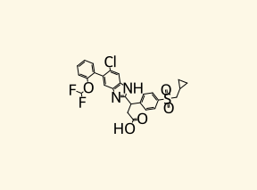 O=C(O)CC(c1ccc(S(=O)(=O)CC2CC2)cc1)c1nc2cc(-c3ccccc3OC(F)F)c(Cl)cc2[nH]1